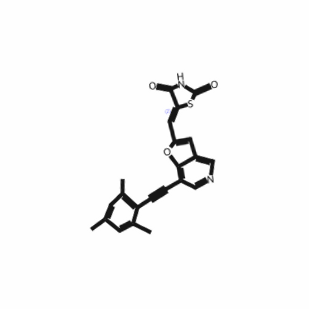 Cc1cc(C)c(C#Cc2cncc3cc(/C=C4\SC(=O)NC4=O)oc23)c(C)c1